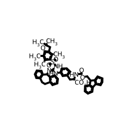 Cc1c(C)c(S(=O)(=O)NC(=NC2c3ccccc3CCc3ccccc32)Nc2cccc(CC(NC(=O)OCC3c4ccccc4-c4ccccc43)C(=O)O)c2)c(C)c2c1OC(C)(C)C2